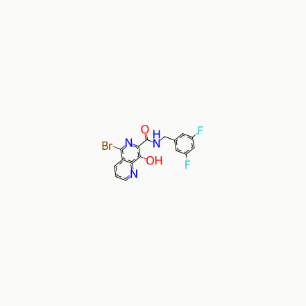 O=C(NCc1cc(F)cc(F)c1)c1nc(Br)c2cccnc2c1O